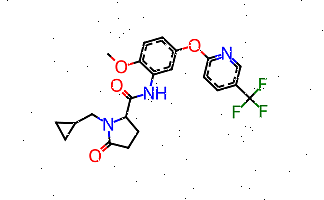 COc1ccc(Oc2ccc(C(F)(F)F)cn2)cc1NC(=O)C1CCC(=O)N1CC1CC1